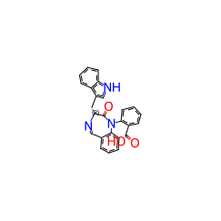 O=C(O)c1ccccc1N1C(=O)[C@@H](Cc2c[nH]c3ccccc23)N=Cc2ccccc21